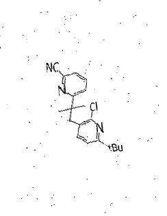 CC(C)(C)c1ccc(CC(C)(C)c2cccc(C#N)n2)c(Cl)n1